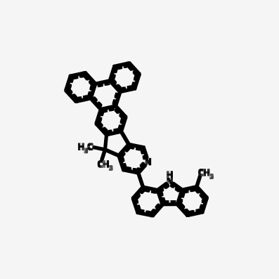 Cc1cccc2c1[nH]c1c(-c3cc4c(cn3)-c3cc5c6ccccc6c6ccccc6c5cc3C4(C)C)cccc12